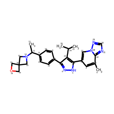 Cc1cc(-c2[nH]nc(-c3ccc(C(C)N4CC5(COC5)C4)cc3)c2C(C)C)cn2ncnc12